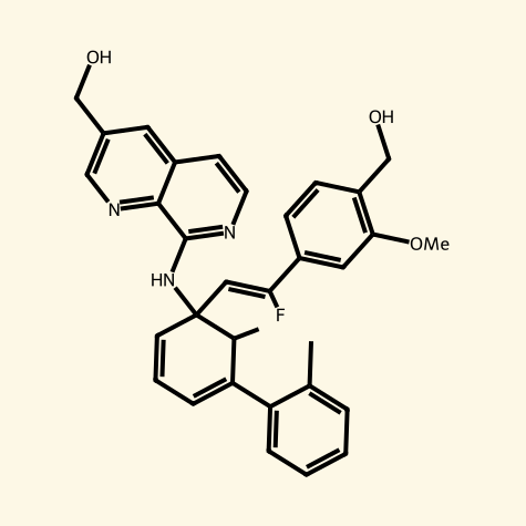 COc1cc(/C(F)=C/C2(Nc3nccc4cc(CO)cnc34)C=CC=C(c3ccccc3C)C2C)ccc1CO